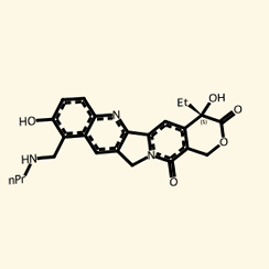 CCCNCc1c(O)ccc2nc3c(cc12)Cn1c-3cc2c(c1=O)COC(=O)[C@]2(O)CC